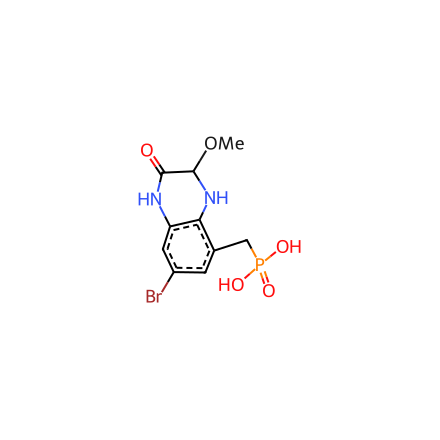 COC1Nc2c(CP(=O)(O)O)cc(Br)cc2NC1=O